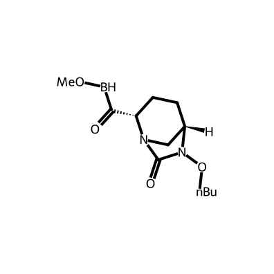 CCCCON1C(=O)N2C[C@@H]1CC[C@H]2C(=O)BOC